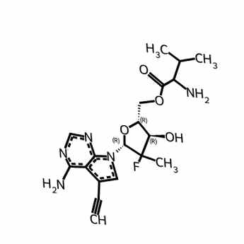 C#Cc1cn([C@@H]2O[C@H](COC(=O)C(N)C(C)C)[C@@H](O)C2(C)F)c2ncnc(N)c12